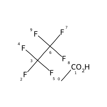 CC(=O)O.FC(F)(F)C(F)(F)F